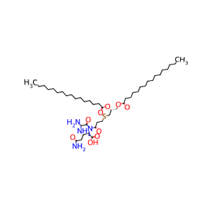 CCCCCCCCCCCCCCCC(=O)OC[C@H](CSCCC(=O)N(C(=O)C(N)N)[C@H](CCC(N)=O)C(=O)O)OC(=O)CCCCCCCCCCCCCCC